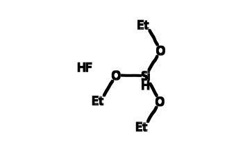 CCO[SiH](OCC)OCC.F